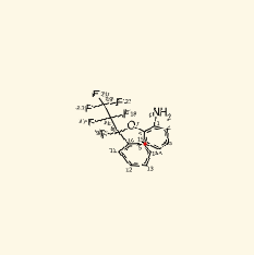 Nc1ccccc1OC(F)(c1ccccc1)C(F)(F)C(F)(F)F